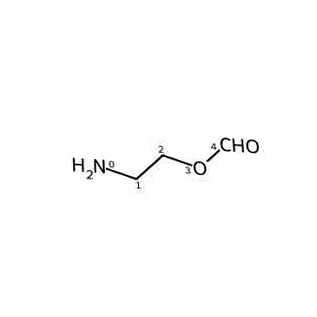 NCCOC=O